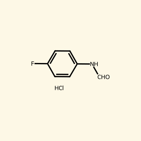 Cl.O=CNc1ccc(F)cc1